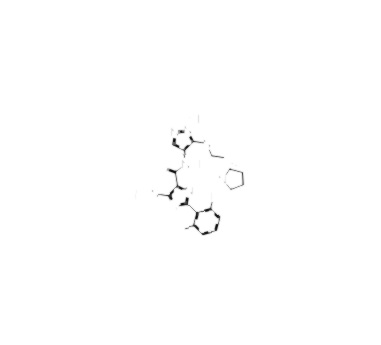 Cn1ncc(NC(=O)c2nc(-c3c(F)cccc3F)sc2N)c1NCC[C@@H]1CCCN1